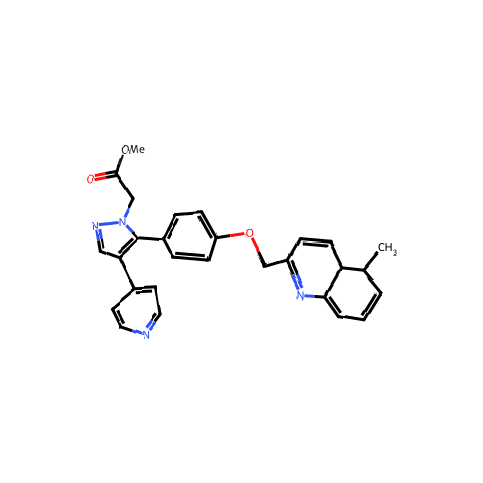 COC(=O)Cn1ncc(-c2ccncc2)c1-c1ccc(OCC2=NC3=CC=CC(C)C3C=C2)cc1